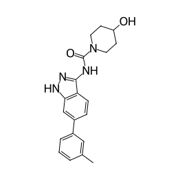 Cc1cccc(-c2ccc3c(NC(=O)N4CCC(O)CC4)n[nH]c3c2)c1